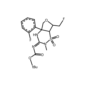 CN1/C(=N\C(=O)OC(C)(C)C)NC2(c3ccccc3F)COC(CF)C2S1(=O)=O